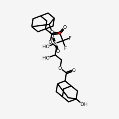 O=C(OCC(O)COC(=O)C12CC3CC(C1)C(OC(=O)C(F)(F)S(=O)(=O)O)C(C3)C2)C1C2CC3CC1CC(O)(C3)C2